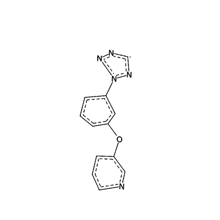 [c]1nnn(-c2cccc(Oc3cccnc3)c2)n1